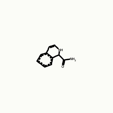 NC(=O)C1NC=Cc2ccccc21